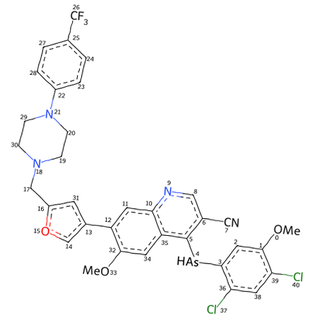 COc1cc([AsH]c2c(C#N)cnc3cc(-c4coc(CN5CCN(c6ccc(C(F)(F)F)cc6)CC5)c4)c(OC)cc23)c(Cl)cc1Cl